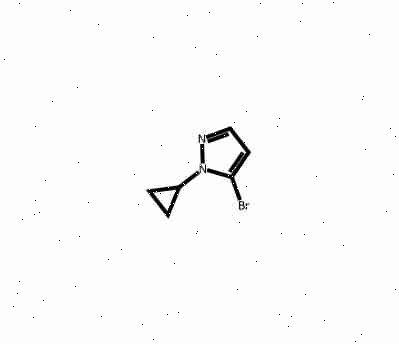 Brc1ccnn1C1CC1